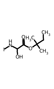 CCC(C)(C)OC(=O)C(O)NI